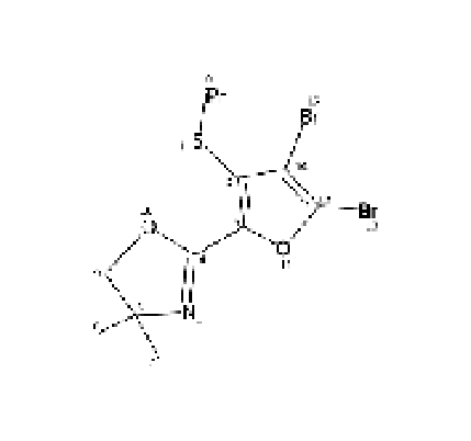 CC(C)Sc1c(C2=NC(C)(C)CO2)oc(Br)c1Br